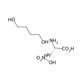 CCC[C@H](N)C(=O)O.O=[N+]([O-])O.OCCCCO